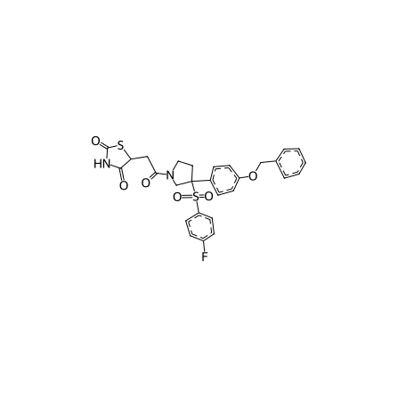 O=C1NC(=O)C(CC(=O)N2CCC(c3ccc(OCc4ccccc4)cc3)(S(=O)(=O)c3ccc(F)cc3)C2)S1